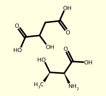 C[C@@H](O)[C@H](N)C(=O)O.O=C(O)CC(O)C(=O)O